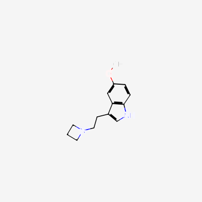 COc1ccc2[nH]cc(CCN3CCC3)c2c1